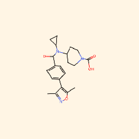 Cc1noc(C)c1-c1ccc(C(=O)N(C2CC2)C2CCN(C(=O)O)CC2)cc1